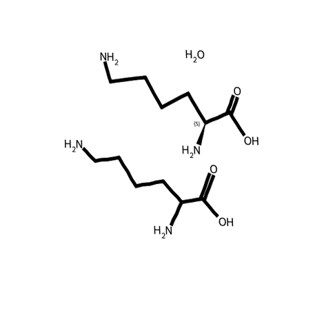 NCCCCC(N)C(=O)O.NCCCC[C@H](N)C(=O)O.O